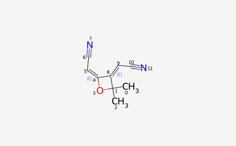 CC1(C)OC(=C/C#N)/C1=C/C#N